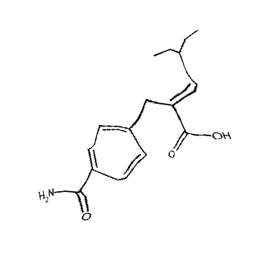 CC(C)/C=C(\Cc1ccc(C(N)=O)cc1)C(=O)O